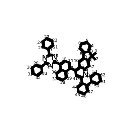 CC1(C)c2ccccc2-c2cc3c(-c4ccc(-c5nc(-c6ccccc6)nc(-c6ccccc6)n5)c5ccccc45)cc(-c4ccccc4-c4ccccc4)nc3cc21